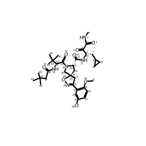 CNC(=O)C(=O)[C@H](CC1CC1)NC(=O)[C@@H]1C[C@]2(CC(c3cc(Cl)ccc3OC)=NO2)CN1C(=O)[C@@H](NC(=O)CC(C)(C)C)C(C)(C)C